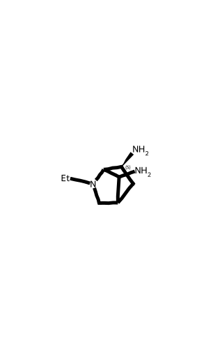 CCN1CC2C[C@H](N)C1C2N